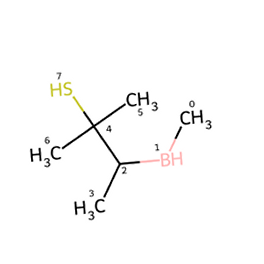 CBC(C)C(C)(C)S